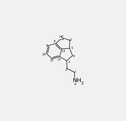 NCCC1CC2CSc3cccc1c32